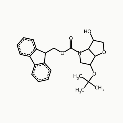 CC(C)(C)OC1CN(C(=O)OCC2c3ccccc3-c3ccccc32)C2C(O)COC12